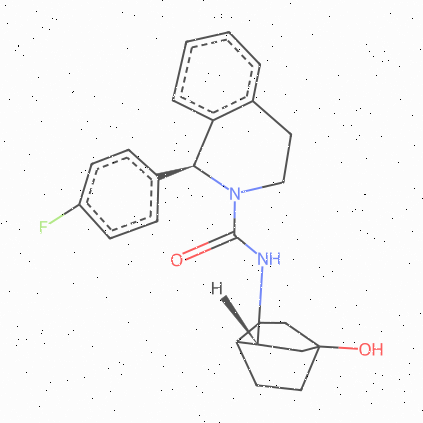 O=C(N[C@@H]1CC2(O)CCC1CC2)N1CCc2ccccc2[C@@H]1c1ccc(F)cc1